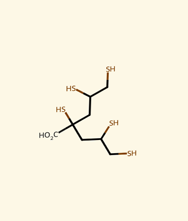 O=C(O)C(S)(CC(S)CS)CC(S)CS